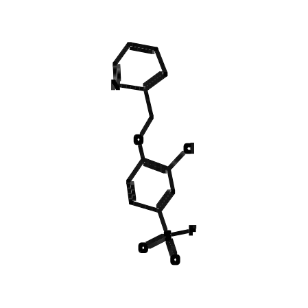 O=S(=O)(F)c1ccc(OCc2ccccn2)c(Cl)c1